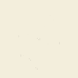 COc1ccc2ncn(C)c2c1CNC(=O)c1ccc(C(F)(F)F)s1.Cl